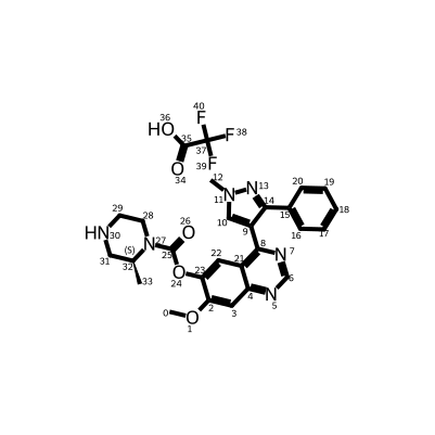 COc1cc2ncnc(-c3cn(C)nc3-c3ccccc3)c2cc1OC(=O)N1CCNC[C@@H]1C.O=C(O)C(F)(F)F